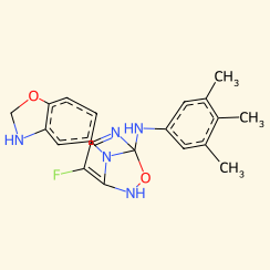 Cc1cc(NC23N=CC(F)=C(NO2)N3c2ccc3c(c2)NCO3)cc(C)c1C